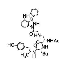 CCC(C)C(NC(=O)C(CNCC(=O)N1NC(c2ccccc2)c2c(N)cccc21)NC(C)=O)C(=O)NC(C)Cc1ccc(O)cc1